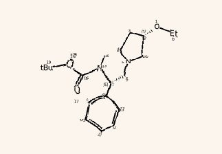 CCO[C@H]1CCN(C[C@H](c2ccccc2)N(C)C(=O)OC(C)(C)C)C1